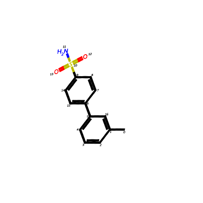 Cc1cccc(-c2ccc(S(N)(=O)=O)cc2)c1